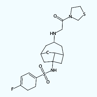 O=C(CNC1CC2CC3C(C1)CC3(NS(=O)(=O)C1=CC=C(F)CC1)C2)N1CCSC1